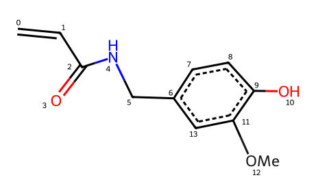 C=CC(=O)NCc1ccc(O)c(OC)c1